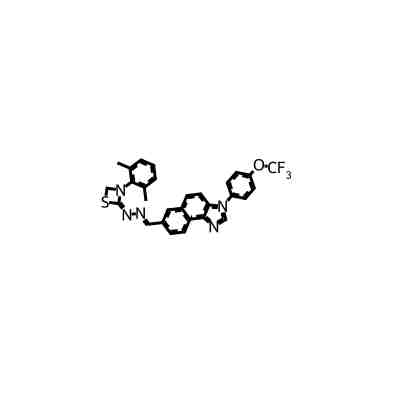 Cc1cccc(C)c1N1CSC1=NN=Cc1ccc2c(ccc3c2ncn3-c2ccc(OC(F)(F)F)cc2)c1